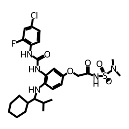 CC(C)C(Nc1ccc(OCC(=O)NS(=O)(=O)N(C)C)cc1NC(=O)Nc1ccc(Cl)cc1F)C1CCCCC1